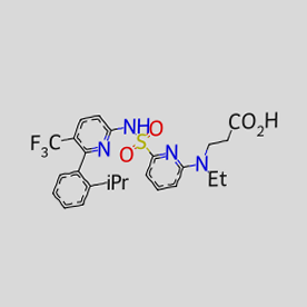 CCN(CCC(=O)O)c1cccc(S(=O)(=O)Nc2ccc(C(F)(F)F)c(-c3ccccc3C(C)C)n2)n1